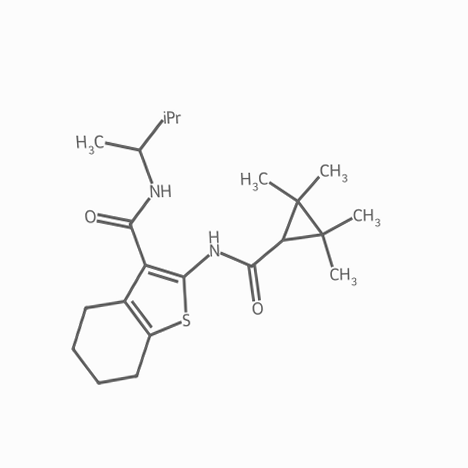 CC(C)C(C)NC(=O)c1c(NC(=O)C2C(C)(C)C2(C)C)sc2c1CCCC2